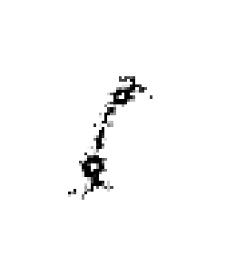 N=C(N)c1ccc(OCCCNCCCOc2ccc(C(=N)N)cc2)cc1